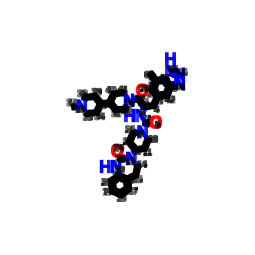 Cc1cc(CC(NC(=O)N2CCC(N3CCc4ccccc4NC3=O)CC2)C(=O)N2CCC(C3CCN(C)CC3)CC2)cc2nn[nH]c12